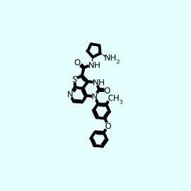 Cc1cc(Oc2ccccc2)ccc1N1C(=O)Nc2c(C(=O)N[C@@H]3CCC[C@@H]3N)sc3nccc1c23